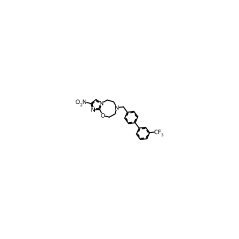 O=[N+]([O-])c1cn2c(n1)OCCN(Cc1ccc(-c3cccc(C(F)(F)F)c3)cc1)CC2